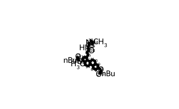 CCCCC(=O)Oc1ccc2c(c1)CCC1C2CCC2(C)C(OC(=O)CCCC)CC(CCC(=O)Nc3ncc(C)s3)C12